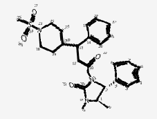 C[C@@H]1[C@@H](c2ccccc2)N(C(=O)CC(c2ccccc2)C2CCN(S(C)(=O)=O)CC2)C(=O)N1C